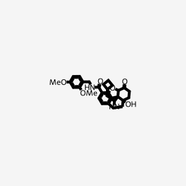 COc1ccc(CNC(=O)c2ccc3c4c2OC2C(=O)CCC5(O)C(C3)NCC(CC3CCC3)C425)c(OC)c1